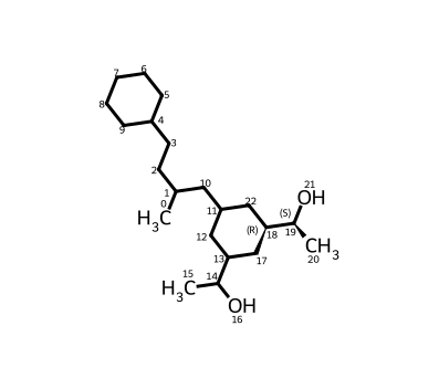 CC(CCC1CCCCC1)CC1CC(C(C)O)C[C@H]([C@H](C)O)C1